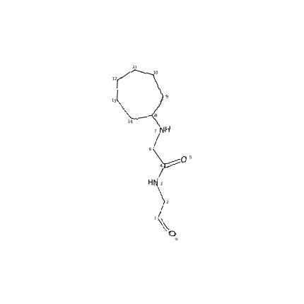 O=[C]CNC(=O)CNC1CCCCCC1